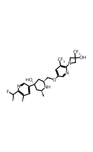 C[C@H]1C[C@@](O)(c2cnc(C(F)F)c(F)c2)C[C@@H](COc2cnc(N3CC(O)(C(F)(F)F)C3)c(C(F)(F)F)c2)N1